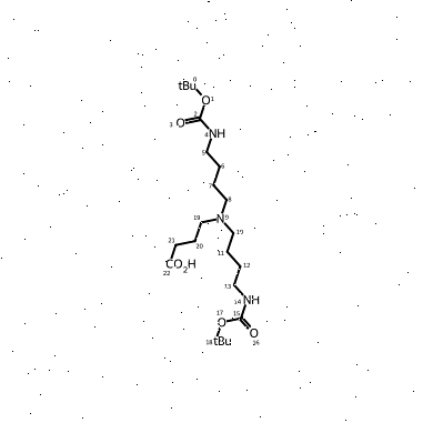 CC(C)(C)OC(=O)NCCCCN(CCCCNC(=O)OC(C)(C)C)CCCC(=O)O